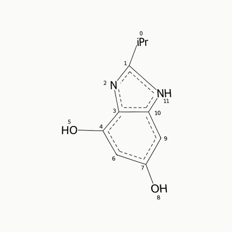 CC(C)c1nc2c(O)cc(O)cc2[nH]1